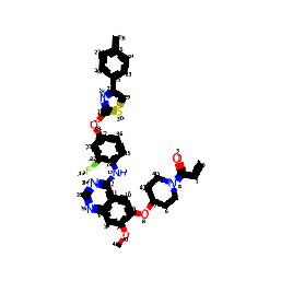 C=CC(=O)N1CCC(Oc2cc3c(Nc4ccc(Oc5nc(-c6ccc(C)cc6)cs5)cc4F)ncnc3cc2OC)CC1